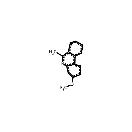 Cc1nc2cc(OC(F)(F)F)ccc2c2ccccc12